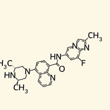 Cc1cn2cc(NC(=O)c3ccc(N4C[C@@H](C)N[C@H](C)C4)c4cccnc34)cc(F)c2n1